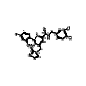 COc1cc(F)ccc1-c1cc(Cn2ccnc2C)cc(C(=O)NCc2ccc(Cl)c(Cl)c2)n1